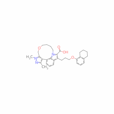 Cc1nn(C)c2c1-c1cccc3c(CCCOc4cccc5c4CCCC5)c(C(=O)O)n(c13)CCCCOC2